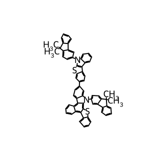 CC1(C)c2ccccc2-c2cc(-n3c4ccccc4c4c5ccc(-c6ccc7c8c9ccccc9c9c%10ccccc%10sc9c8n(-c8ccc9c(c8)-c8ccccc8C9(C)C)c7c6)cc5sc43)ccc21